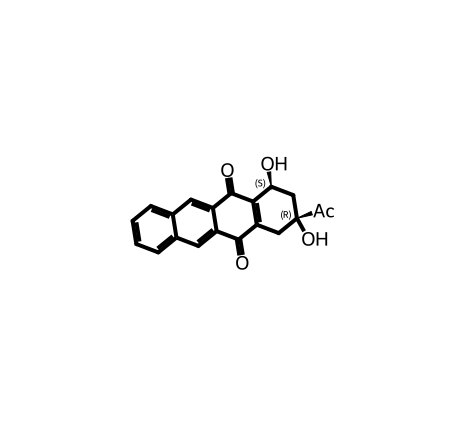 CC(=O)[C@@]1(O)CC2=C(C(=O)c3cc4ccccc4cc3C2=O)[C@@H](O)C1